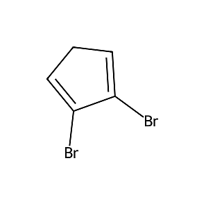 BrC1=CCC=C1Br